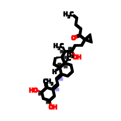 C=C1/C(=C\C=C2/CCC[C@]3(C)[C@@H]([C@H](C)[C@H](O)CCC4(C(=O)CCCC)CC4)CC[C@@H]23)C[C@@H](O)C[C@@H]1O